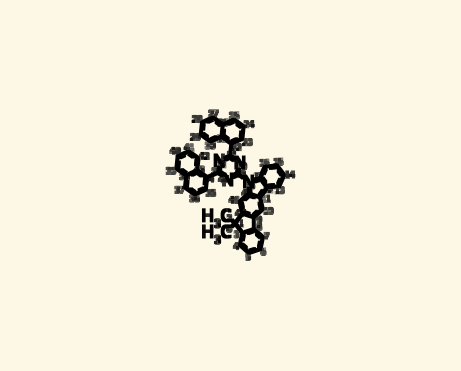 CC1(C)c2ccccc2-c2cc3c4ccccc4n(-c4nc(-c5cccc6ccccc56)nc(-c5cccc6ccccc56)n4)c3cc21